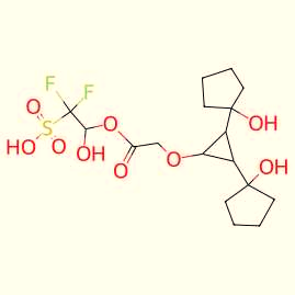 O=C(COC1C(C2(O)CCCC2)C1C1(O)CCCC1)OC(O)C(F)(F)S(=O)(=O)O